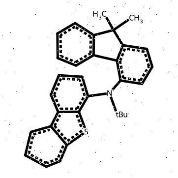 CC1(C)c2ccccc2-c2c(N(c3cccc4c3sc3ccccc34)C(C)(C)C)cccc21